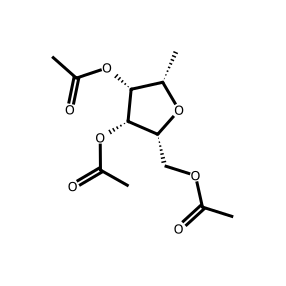 CC(=O)OC[C@H]1O[C@@H](C)[C@@H](OC(C)=O)[C@H]1OC(C)=O